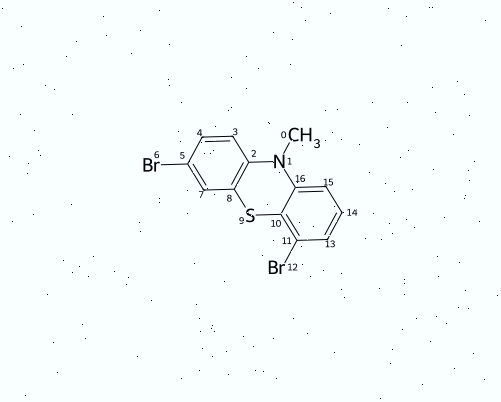 CN1c2ccc(Br)cc2Sc2c(Br)cccc21